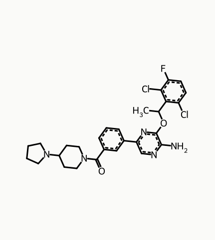 CC(Oc1nc(-c2cccc(C(=O)N3CCC(N4CCCC4)CC3)c2)cnc1N)c1c(Cl)ccc(F)c1Cl